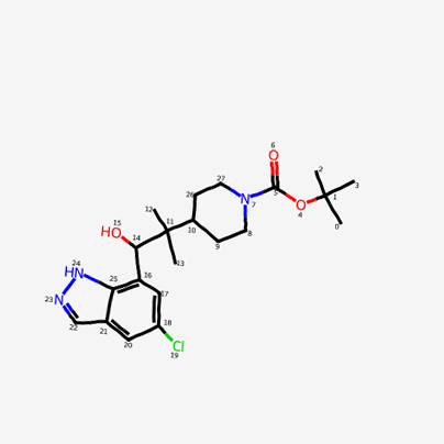 CC(C)(C)OC(=O)N1CCC(C(C)(C)C(O)c2cc(Cl)cc3cn[nH]c23)CC1